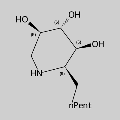 CCCCCC[C@H]1NC[C@@H](O)[C@H](O)[C@H]1O